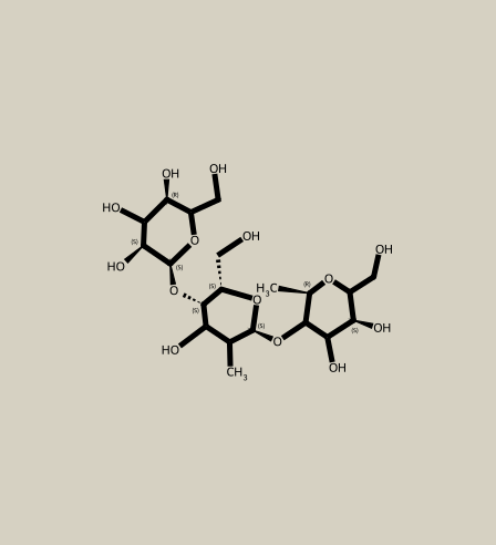 CC1C(O)[C@H](O[C@@H]2OC(CO)[C@H](O)C(O)[C@@H]2O)[C@H](CO)O[C@H]1OC1C(O)[C@H](O)C(CO)O[C@@H]1C